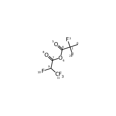 CC(F)(F)C(=O)OC(=O)C(F)C(F)(F)F